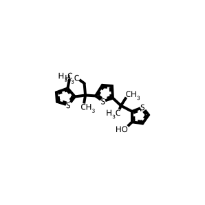 CCC(C)(c1ccc(C(C)(C)c2sccc2O)s1)c1sccc1C